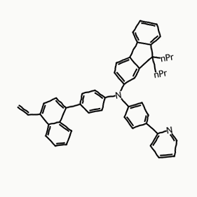 C=Cc1ccc(-c2ccc(N(c3ccc(-c4ccccn4)cc3)c3ccc4c(c3)C(CCC)(CCC)c3ccccc3-4)cc2)c2ccccc12